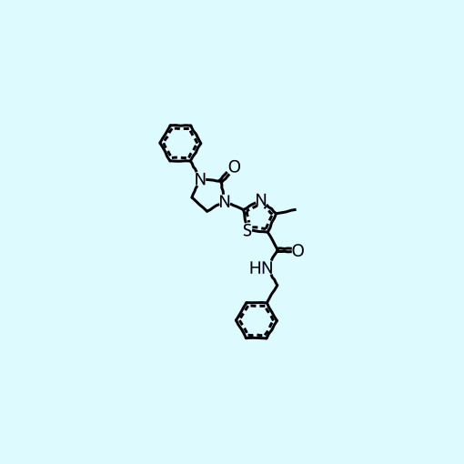 Cc1nc(N2CCN(c3ccccc3)C2=O)sc1C(=O)NCc1ccccc1